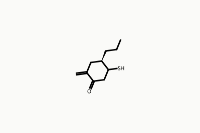 C=C1C[C@@H](CCC)C(S)CC1=O